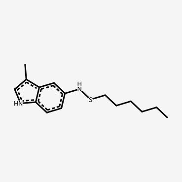 CCCCCCSNc1ccc2[nH]cc(C)c2c1